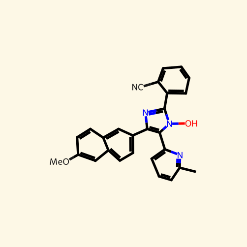 COc1ccc2cc(-c3nc(-c4ccccc4C#N)n(O)c3-c3cccc(C)n3)ccc2c1